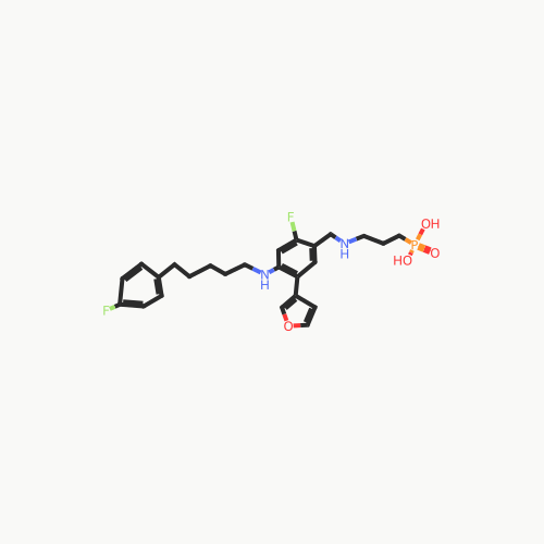 O=P(O)(O)CCCNCc1cc(-c2ccoc2)c(NCCCCCc2ccc(F)cc2)cc1F